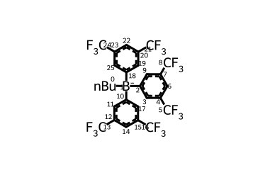 CCCC[B-](c1cc(C(F)(F)F)cc(C(F)(F)F)c1)(c1cc(C(F)(F)F)cc(C(F)(F)F)c1)c1cc(C(F)(F)F)cc(C(F)(F)F)c1